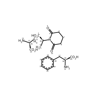 C[C@@H](C(=O)O)N1C(=O)CCCC1=O.C[C@H](N)C(=O)O.N[C@@H](Cc1ccccc1)C(=O)O